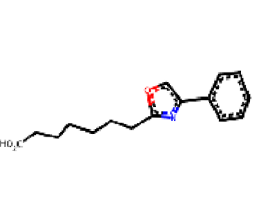 O=C(O)CCCCCCc1nc(-c2ccccc2)co1